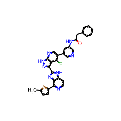 Cc1ccc(-c2nccc3[nH]c(-c4n[nH]c5ncc(-c6cncc(NC(=O)Cc7ccccc7)c6)c(F)c45)nc23)s1